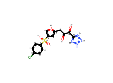 O=C(Cc1cc(S(=O)(=O)c2ccc(Cl)cc2)co1)C(=O)c1nn[nH]n1